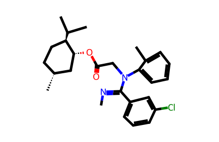 C/N=C(\c1cccc(Cl)c1)N(CC(=O)O[C@@H]1C[C@H](C)CC[C@H]1C(C)C)c1ccccc1C